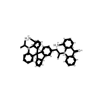 CC(C)B1c2ccccc2C2(c3ccccc3-c3cc(CC(C)B4c5ccccc5C(=O)c5cccc(N)c54)ccc32)c2cccc(N)c21